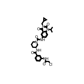 CC(C)n1c(=O)n(CC2CC2)c(=O)c2cc(NC(=O)N3CCC[C@@H](NC(=O)c4cccc(NC(=O)CCl)c4)C3)ccc21